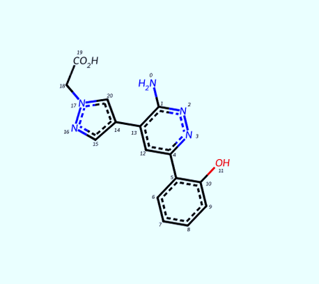 Nc1nnc(-c2ccccc2O)cc1-c1cnn(CC(=O)O)c1